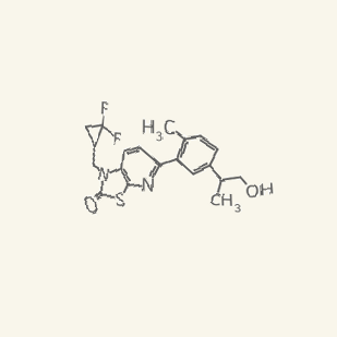 Cc1ccc(C(C)CO)cc1-c1ccc2c(n1)sc(=O)n2CC1CC1(F)F